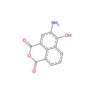 Nc1cc2c3c(cccc3c1O)C(=O)OC2=O